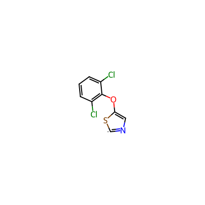 Clc1cccc(Cl)c1Oc1cn[c]s1